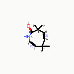 CC1(C)/C=C\NC(=O)C(C)(C)/C=C\1